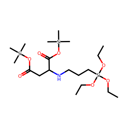 CCO[Si](CCCNC(CC(=O)O[Si](C)(C)C)C(=O)O[Si](C)(C)C)(OCC)OCC